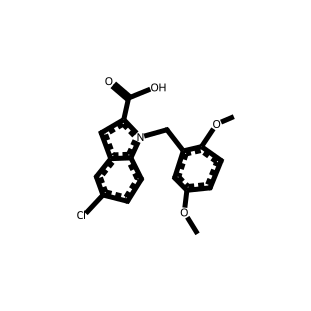 COc1ccc(OC)c(Cn2c(C(=O)O)cc3cc(Cl)ccc32)c1